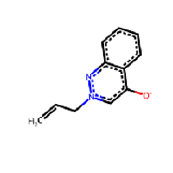 C=CC[n+]1cc([O-])c2ccccc2n1